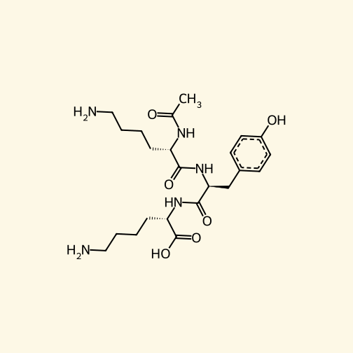 CC(=O)N[C@@H](CCCCN)C(=O)N[C@@H](Cc1ccc(O)cc1)C(=O)N[C@@H](CCCCN)C(=O)O